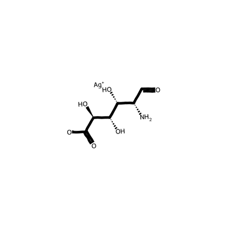 N[C@@H](C=O)[C@@H](O)[C@H](O)[C@H](O)C(=O)[O-].[Ag+]